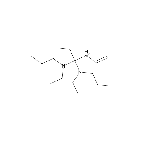 C=C[SiH2]C(CC)(N(CC)CCC)N(CC)CCC